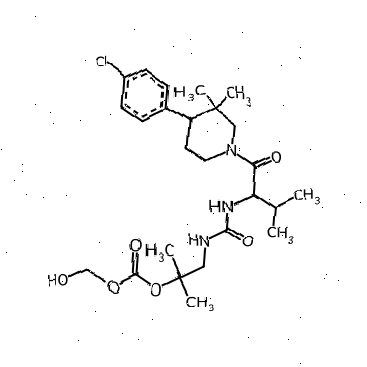 CC(C)C(NC(=O)NCC(C)(C)OC(=O)OCO)C(=O)N1CCC(c2ccc(Cl)cc2)C(C)(C)C1